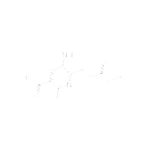 CCOC(=O)CCc1nc(C)c(C(=O)O)cc1N